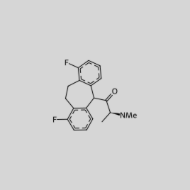 CN[C@@H](C)C(=O)C1c2cccc(F)c2CCc2c(F)cccc21